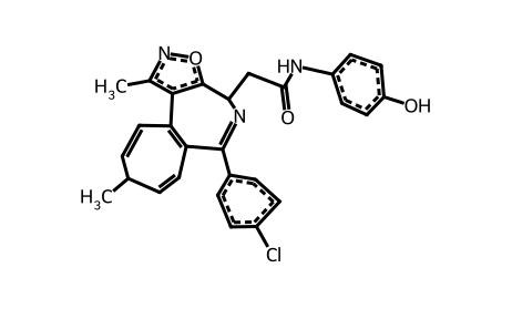 Cc1noc2c1C1=C(C=CC(C)C=C1)C(c1ccc(Cl)cc1)=NC2CC(=O)Nc1ccc(O)cc1